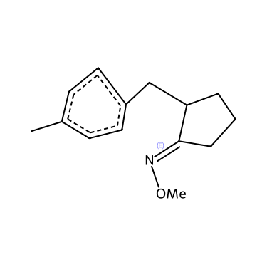 CO/N=C1\CCCC1Cc1ccc(C)cc1